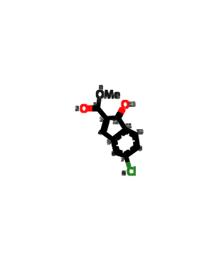 COC(=O)C1=Cc2cc(Cl)ccc2C1=O